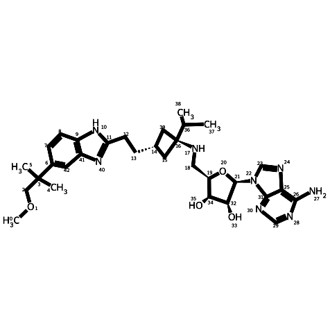 COCC(C)(C)c1ccc2[nH]c(CC[C@H]3C[C@@](NC[C@H]4O[C@@H](n5cnc6c(N)ncnc65)[C@@H](O)[C@H]4O)(C(C)C)C3)nc2c1